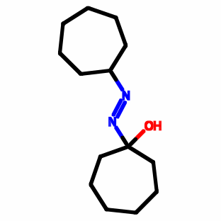 OC1(/N=N/C2CCCCCC2)CCCCCC1